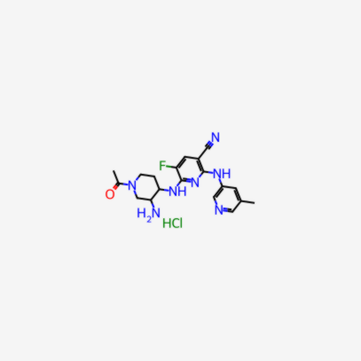 CC(=O)N1CCC(Nc2nc(Nc3cncc(C)c3)c(C#N)cc2F)C(N)C1.Cl